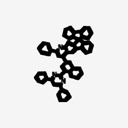 c1ccc(-c2cc(-c3ccccc3)nc(-c3cc(-c4cc(-c5ccccc5)nc5cc6c(cc45)-c4ccccc4C64c5ccccc5-c5ccccc54)cc4ccccc34)n2)cc1